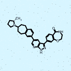 C[C@H]1CCCN1C1CCc2ccc(-c3cnc4[nH]nc(-c5ccc6c(c5)OCCNC6=O)c4c3)cc2CC1